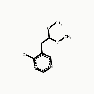 COC(Cc1[c]ncnc1Cl)OC